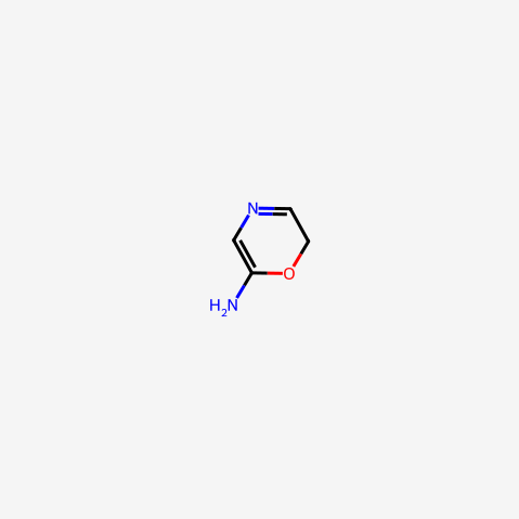 NC1=CN=CCO1